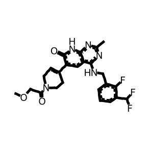 COCC(=O)N1CC=C(c2cc3c(NCc4cccc(C(F)F)c4F)nc(C)nc3[nH]c2=O)CC1